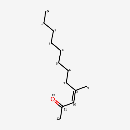 CCCCCCCC/C(C)=C\C(C)=O